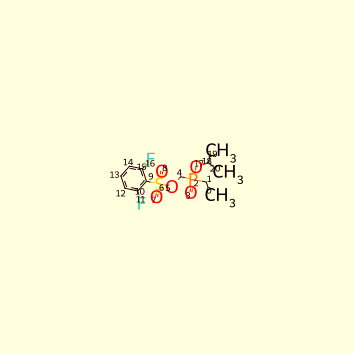 CCP(=O)(COS(=O)(=O)c1c(F)cccc1F)OC(C)C